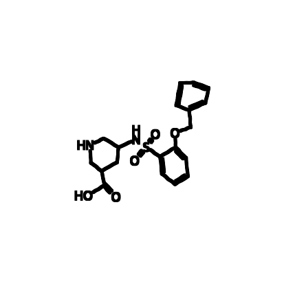 O=C(O)C1CNCC(NS(=O)(=O)c2ccccc2OCc2ccccc2)C1